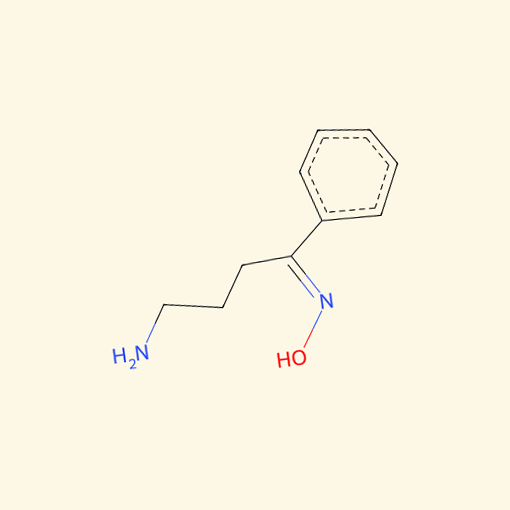 NCCCC(=NO)c1ccccc1